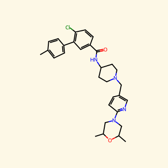 Cc1ccc(-c2cc(C(=O)NC3CCN(Cc4ccc(N5CC(C)OC(C)C5)nc4)CC3)ccc2Cl)cc1